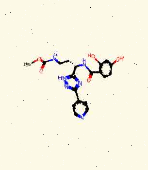 CC(C)(C)OC(=O)NCC[C@H](NC(=O)c1ccc(O)cc1O)c1nc(-c2ccncc2)n[nH]1